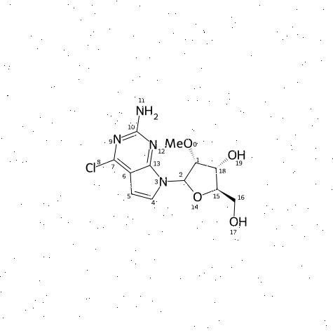 CO[C@H]1C(n2ccc3c(Cl)nc(N)nc32)O[C@H](CO)[C@H]1O